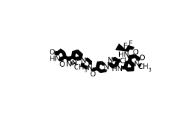 Cn1nc(C2CCC(=O)NC2=O)c2cccc(N3CCN(C(=O)C4CCN(c5cc(Nc6ccc7c(c6)c6c(c(=O)n7C)OCC(F)(F)[C@H](C7CC7)N6)c(Cl)cn5)CC4)CC3)c21